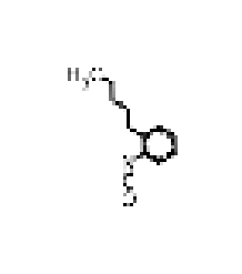 CCCCCc1ccccc1N=C=O